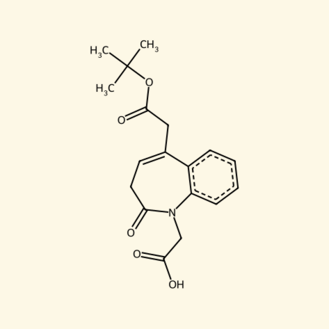 CC(C)(C)OC(=O)CC1=CCC(=O)N(CC(=O)O)c2ccccc21